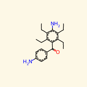 CCc1c(N)c(CC)c(CC)c(C(=O)c2ccc(N)cc2)c1CC